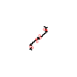 CCC(C)C(=O)OC(C)(C)CCCCCC(=O)OC(C)(C)C(C)(C)OC(=O)CCCCCC(C)(C)OC(=O)C(C)C